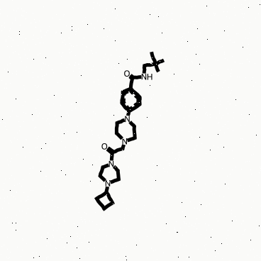 CC(C)(C)CNC(=O)c1ccc(N2CCN(CC(=O)N3CCN(C4CCC4)CC3)CC2)cc1